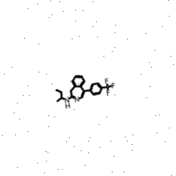 CCC(C)NC1=NC=C(c2ccc(C(F)(F)F)cc2)c2ccccc2C1